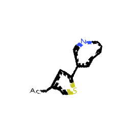 CC(=O)c1csc(-c2cccnc2)c1